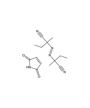 CCC(C)(C#N)/N=N/C(C)(C#N)CC.O=C1C=CC(=O)N1